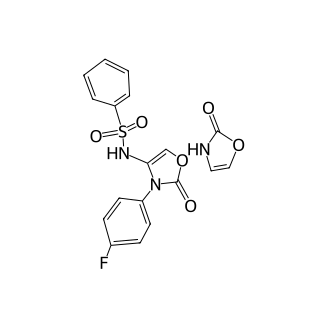 O=c1[nH]cco1.O=c1occ(NS(=O)(=O)c2ccccc2)n1-c1ccc(F)cc1